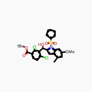 COc1cc(C)c2cc(C(O)c3c(Cl)ccc(C(=O)OC(C)(C)C)c3Cl)n(S(=O)(=O)c3ccccc3)c2c1